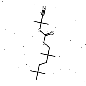 CC(C)(C)CCC(C)(C)CSC(=S)SC(C)(C)C#N